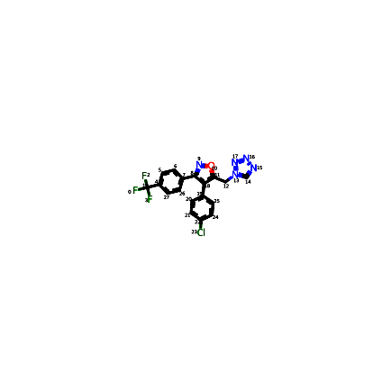 FC(F)(F)c1ccc(-c2noc(Cn3cnnn3)c2-c2ccc(Cl)cc2)cc1